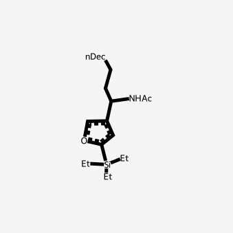 CCCCCCCCCCCCC(NC(C)=O)c1coc([Si](CC)(CC)CC)c1